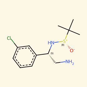 CC(C)(C)[S@+]([O-])N[C@H](CN)c1cccc(Cl)c1